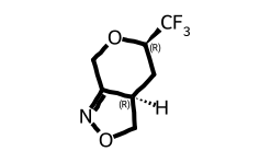 FC(F)(F)[C@H]1C[C@H]2CON=C2CO1